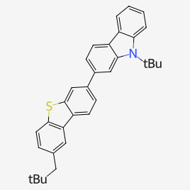 CC(C)(C)Cc1ccc2sc3cc(-c4ccc5c6ccccc6n(C(C)(C)C)c5c4)ccc3c2c1